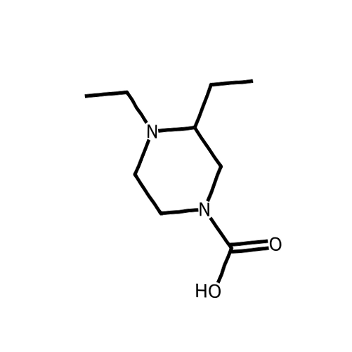 CCC1CN(C(=O)O)CCN1CC